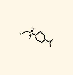 CN(C)C1CCN(S(=O)(=O)CCl)CC1